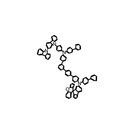 c1ccc(-c2ccc(N(c3ccc(-c4cccc(-c5ccc(-c6ccc(N(c7ccc(-c8ccccc8)cc7)c7ccc8c(c7)C7(c9ccccc9Oc9ccccc97)c7ccccc7-8)cc6)cc5)c4)cc3)c3ccc(-n4c5ccccc5c5ccc(-n6c7ccccc7c7ccccc76)cc54)cc3)cc2)cc1